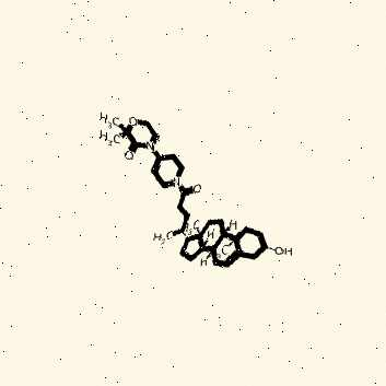 CC(CCC(=O)N1CCC(N2CCOC(C)(C)C2=O)CC1)[C@H]1CC[C@H]2[C@@H]3CC=C4C[C@@H](O)CC[C@]4(C)[C@H]3CC[C@]12C